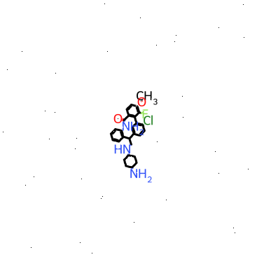 COc1ccc(C(N)=O)c(-c2cc(C(CNC3CCC(N)CC3)c3ccccc3)ccc2Cl)c1F